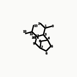 CC(C)C1C2CCC(C2)CN1C(C)C